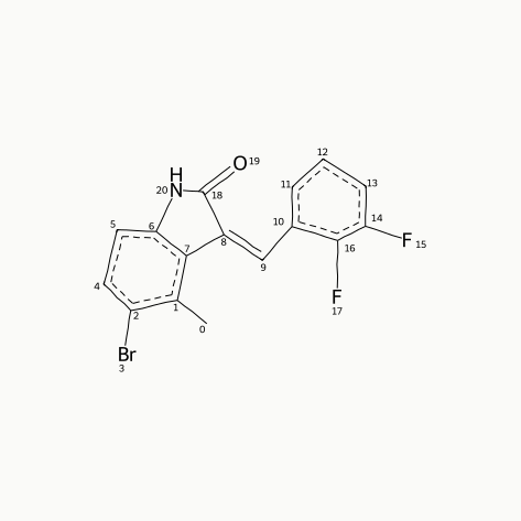 Cc1c(Br)ccc2c1C(=Cc1cccc(F)c1F)C(=O)N2